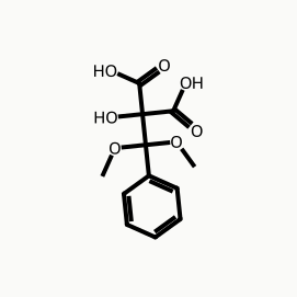 COC(OC)(c1ccccc1)C(O)(C(=O)O)C(=O)O